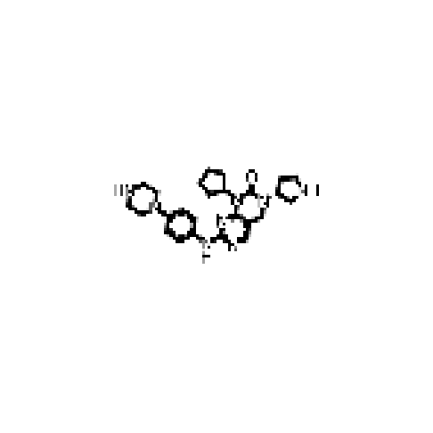 O=C1N(C2CCCC2)c2nc(Nc3ccc(N4CCNCC4)cc3)ncc2CN1[C@@H]1CCNC1